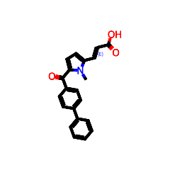 Cn1c(/C=C/C(=O)O)ccc1C(=O)c1ccc(-c2ccccc2)cc1